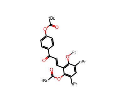 CCCc1cc(CCC)c(OC(=O)C(C)(C)C)c(/C=C/C(=O)c2ccc(OC(=O)C(C)(C)C)cc2)c1OCC